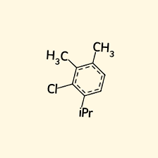 Cc1ccc(C(C)C)c(Cl)c1C